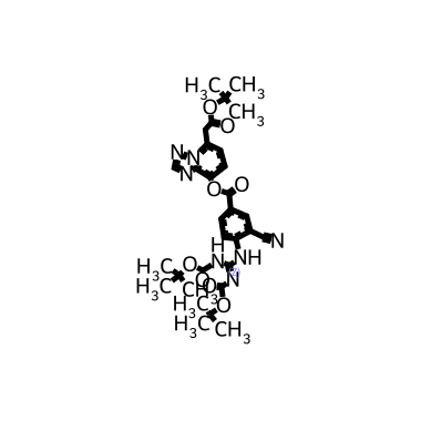 CC(C)(C)OC(=O)Cc1ccc(OC(=O)c2ccc(N/C(=N/C(=O)OC(C)(C)C)NC(=O)OC(C)(C)C)c(C#N)c2)c2ncnn12